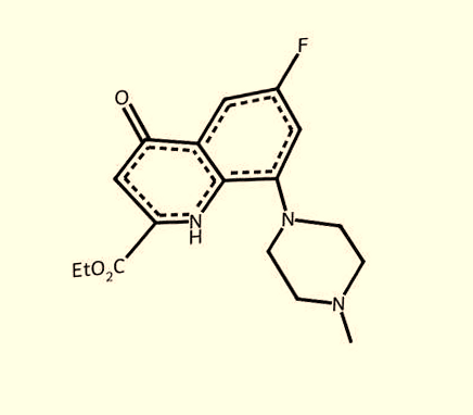 CCOC(=O)c1cc(=O)c2cc(F)cc(N3CCN(C)CC3)c2[nH]1